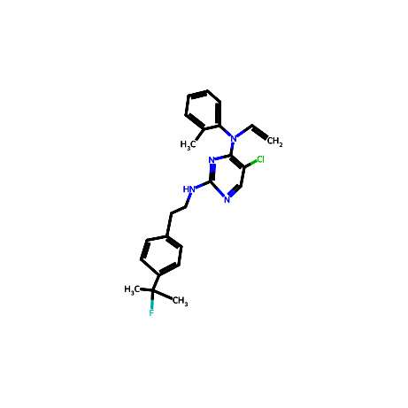 C=CN(c1ccccc1C)c1nc(NCCc2ccc(C(C)(C)F)cc2)ncc1Cl